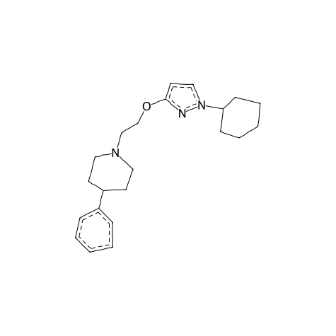 c1ccc(C2CCN(CCOc3ccn(C4CCCCC4)n3)CC2)cc1